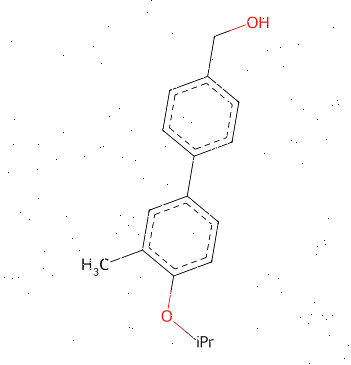 Cc1cc(-c2ccc(CO)cc2)ccc1OC(C)C